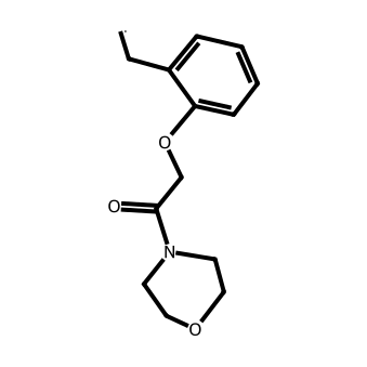 [CH2]Cc1ccccc1OCC(=O)N1CCOCC1